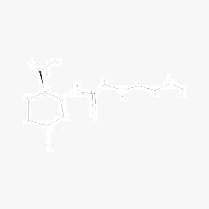 COCCOCC(=O)O[C@@H]1C[C@H](C)CC[C@H]1C(C)C